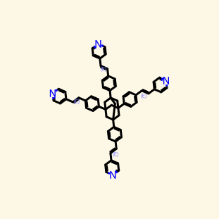 C(=C\c1ccc(C23CC4(c5ccc(/C=C/c6ccncc6)cc5)CC(c5ccc(/C=C/c6ccncc6)cc5)(C2)CC(c2ccc(/C=C/c5ccncc5)cc2)(C3)C4)cc1)/c1ccncc1